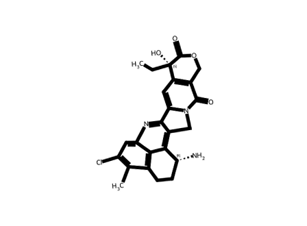 CC[C@@]1(O)C(=O)OCc2c1cc1n(c2=O)Cc2c-1nc1cc(Cl)c(C)c3c1c2[C@H](N)CC3